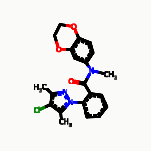 Cc1nn(-c2ccccc2C(=O)N(C)c2ccc3c(c2)OCCO3)c(C)c1Cl